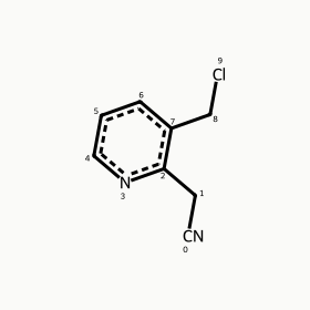 N#CCc1ncccc1CCl